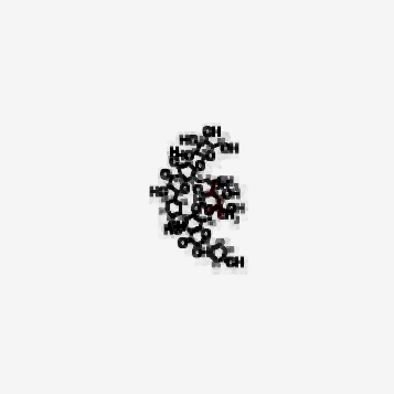 CC(=CCc1c(OC2OC(CO)C(O)C(O)C2O)cc(O)c2c1OC(c1ccc(O)cc1)C(O)C2=O)CCC(C)=CCc1c(O[C@@H]2O[C@H](CO)[C@@H](O)[C@H](O)[C@H]2O)cc(O)c2c1O[C@H](c1ccc(O)cc1)[C@@H](O)C2=O